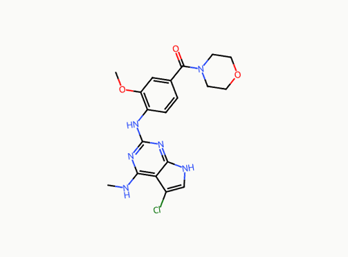 CNc1nc(Nc2ccc(C(=O)N3CCOCC3)cc2OC)nc2[nH]cc(Cl)c12